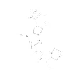 CCC(C(=O)NC(C)C1=Nc2cc(OC)c(-c3c(C)noc3C)cc2C(=C=O)N1)c1ccccc1